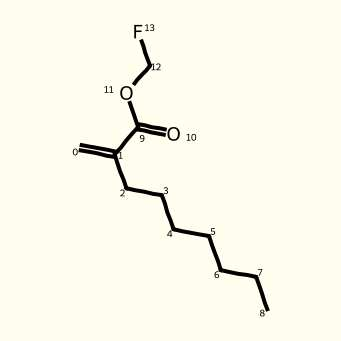 C=C(CCCCCCC)C(=O)OCF